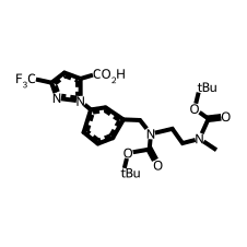 CN(CCN(Cc1cccc(-n2nc(C(F)(F)F)cc2C(=O)O)c1)C(=O)OC(C)(C)C)C(=O)OC(C)(C)C